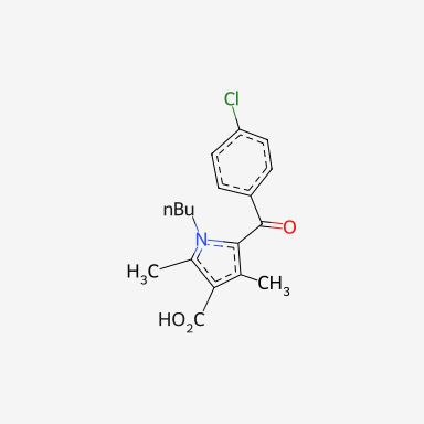 CCCCn1c(C)c(C(=O)O)c(C)c1C(=O)c1ccc(Cl)cc1